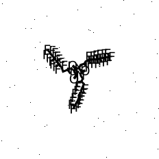 O=c1n(CC(I)CC(F)(F)C(F)(F)C(F)(F)C(F)(F)C(F)(F)C(F)(F)F)c(=O)n(CC(I)CC(F)(F)C(F)(F)C(F)(F)C(F)(F)C(F)(F)C(F)(F)F)c(=O)n1CC(I)CC(F)(F)C(F)(F)C(F)(F)C(F)(F)C(F)(F)C(F)(F)F